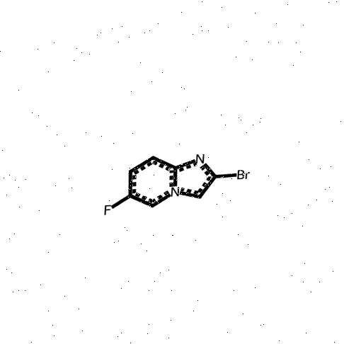 Fc1ccc2nc(Br)cn2c1